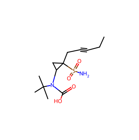 CCC#CCC1(S(N)(=O)=O)CC1N(C(=O)O)C(C)(C)C